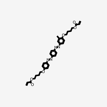 C=CC(=O)OCCCCOc1ccc(/N=N/c2ccc(/N=N/c3ccc(OCCCCOC(=O)C=C)c(C)c3)cc2)cc1